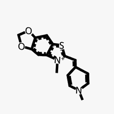 CN1C=CC(=Cc2sc3cc4c(cc3[n+]2C)OCO4)C=C1